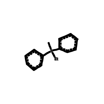 CCS(C)(c1cc[c]cc1)c1ccccc1